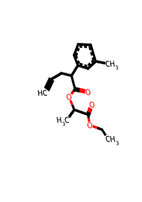 C#CCC(C(=O)OC(C)C(=O)OCC)c1cccc(C)c1